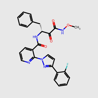 CONC(=O)C(=O)[C@@H](Cc1ccccc1)NC(=O)c1cccnc1-n1ccc(-c2ccccc2F)n1